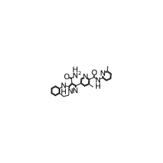 Cc1cccc(NC(=O)c2ncc(-c3nn4c(c3C(N)=O)Nc3ccccc3CC4)cc2C)n1